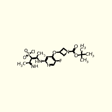 CC(=N)/C(=C(/C)Nc1cc(OC2CN(C(=O)OC(C)(C)C)C2)c(F)cn1)S(=O)(=O)Cl